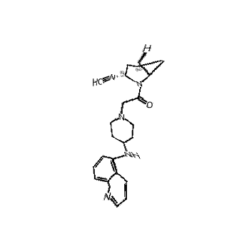 C#[N+][C@@H]1C[C@@H]2CC2N1C(=O)CN1CCC(Nc2cccc3ncccc23)CC1